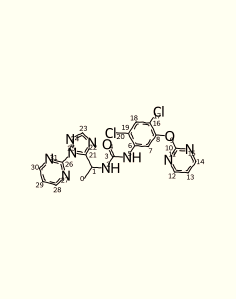 CC(NC(=O)Nc1cc(Oc2ncccn2)c(Cl)cc1Cl)c1ncnn1-c1ncccn1